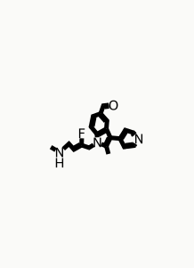 CNC/C=C(\F)Cn1c(C)c(-c2ccncc2)c2cc(C=O)ccc21